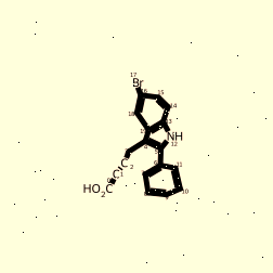 O=C(O)CCCc1c(-c2ccccc2)[nH]c2ccc(Br)cc12